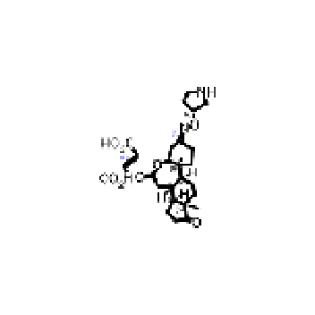 C[C@]12CC/C(=N\O[C@@H]3CCNC3)CC1OC(=O)C[C@@H]1[C@@H]2CC[C@]2(C)C(=O)CC[C@@H]12.O=C(O)/C=C/C(=O)O